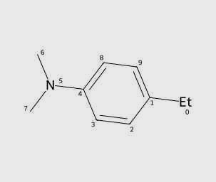 [CH2]Cc1ccc(N(C)C)cc1